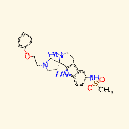 CS(=O)(=O)Nc1ccc2[nH]c3c(c2c1)CCN[C@@]31CCN(CCOc2ccccc2)C1